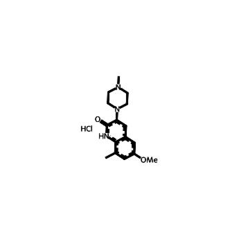 COc1cc(C)c2[nH]c(=O)c(N3CCN(C)CC3)cc2c1.Cl